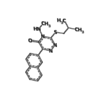 CNn1c(SCC(C)C)nnc(-c2ccc3ccccc3c2)c1=O